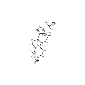 CC(C)(O)[C@H]1CC=C2C3=C(CC[C@@]21C)[C@@]1(C)CC[C@H](O)C(C)(C)C1CC3